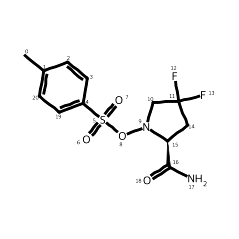 Cc1ccc(S(=O)(=O)ON2CC(F)(F)C[C@H]2C(N)=O)cc1